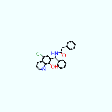 O=C(Cc1ccccc1)NC(c1ccccc1)c1cc(Cl)c2cccnc2c1O